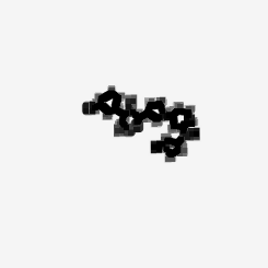 O=C(NC(CO)c1cccc(Cl)c1)c1ccn(C2=CC(NC3CCNC3)=NCC2)c1